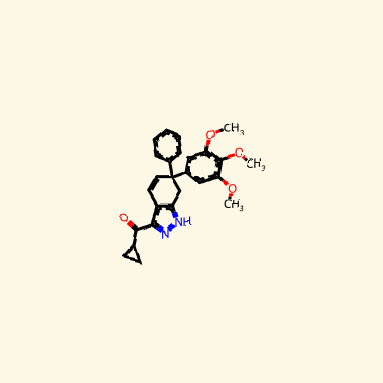 COc1cc(C2(c3ccccc3)C=Cc3c(C(=O)C4CC4)n[nH]c3C2)cc(OC)c1OC